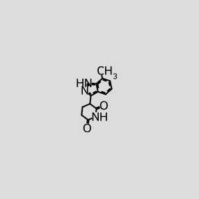 Cc1cccc2c(C3CCC(=O)NC3=O)n[nH]c12